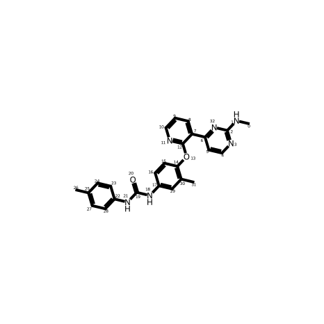 CNc1nccc(-c2cccnc2Oc2ccc(NC(=O)Nc3ccc(C)cc3)cc2C)n1